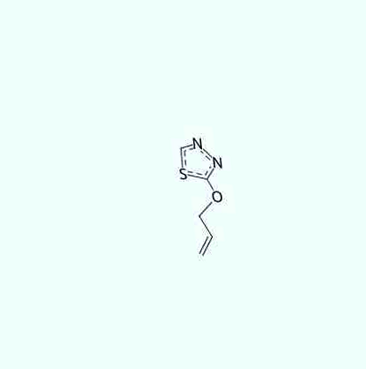 C=CCOc1nncs1